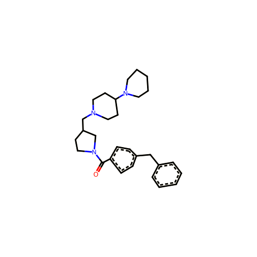 O=C(c1ccc(Cc2ccccc2)cc1)N1CCC(CN2CCC(N3CCCCC3)CC2)C1